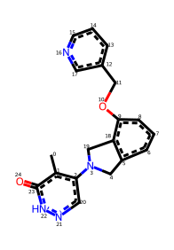 Cc1c(N2Cc3cccc(OCc4cccnc4)c3C2)cn[nH]c1=O